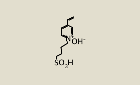 C=Cc1cc[n+](CCCCS(=O)(=O)O)cc1.[OH-]